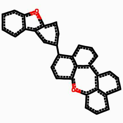 c1ccc2c(c1)oc1ccc(-c3ccc4oc5cccc6cccc(c7cccc3c47)c65)cc12